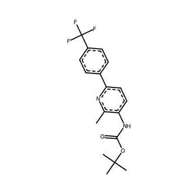 Cc1nc(-c2ccc(C(F)(F)F)cc2)ccc1NC(=O)OC(C)(C)C